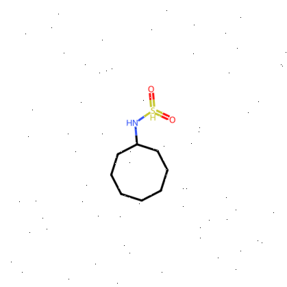 O=[SH](=O)NC1CCCCCCC1